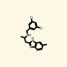 Cc1ccc2nc(CC(C)NCc3cc(Cl)cc(Cl)c3)[nH]c2c1